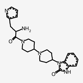 NC(Cc1cccnc1)C(=O)N1CCC(N2CCC(n3c(=O)[nH]c4ccccc43)CC2)CC1